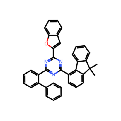 CC1(C)c2ccccc2-c2c(-c3nc(-c4cc5ccccc5o4)nc(-c4ccccc4-c4ccccc4)n3)cccc21